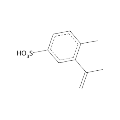 C=C(C)c1cc(S(=O)(=O)O)ccc1C